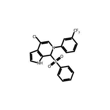 O=S(=O)(c1ccccc1)C1c2[nH]ccc2C(Cl)=CN1c1cccc(C(F)(F)F)c1